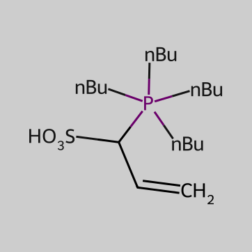 C=CC(S(=O)(=O)O)P(CCCC)(CCCC)(CCCC)CCCC